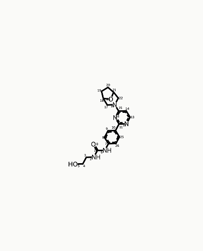 O=C(NCCO)Nc1ccc(-c2nccc(N3CC4CCC(C3)O4)n2)cc1